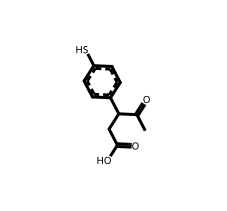 CC(=O)C(CC(=O)O)c1ccc(S)cc1